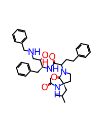 CC(=O)N[C@@]1(CC(C)C)CCN(C(CCc2ccccc2)C(=O)N[C@@H](Cc2ccccc2)[C@H](O)CNCc2ccccc2)C1=O